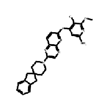 COc1nc(N)cc(Sc2ccc3nc(N4CCC5(CC4)Cc4ccccc4C5)cnc3n2)c1Cl